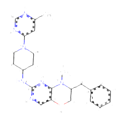 Cc1cc(N2CCC(Nc3ncc4c(n3)N(C)C(Cc3ccccc3)CO4)CC2)ncn1